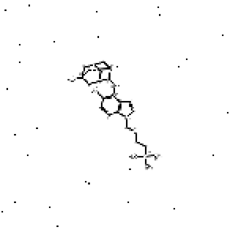 CC(=O)c1cnc2c(ccn2COCC[Si](C)(C)C)c1NC1C2CC3CC1CC(O)(C3)C2